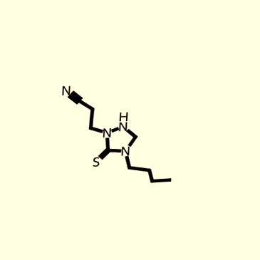 CCCCN1CNN(CCC#N)C1=S